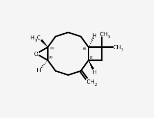 C=C1CC[C@H]2O[C@]2(C)CCC[C@@H]2[C@@H]1CC2(C)C